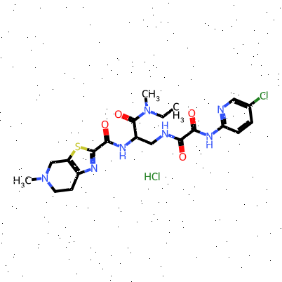 CCN(C)C(=O)C(CNC(=O)C(=O)Nc1ccc(Cl)cn1)NC(=O)c1nc2c(s1)CN(C)CC2.Cl